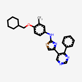 FC(F)(F)c1cc(Nc2nc(-c3cncnc3-c3ccccc3)cs2)ccc1OCC1CCCCC1